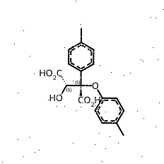 Cc1ccc(O[C@@](C(=O)O)(c2ccc(C)cc2)[C@H](O)C(=O)O)cc1